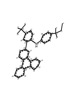 CCC(C)(C)c1ccc(Nc2ccc(C(C)(C)C)cc2-c2ccc3c4ccccc4c4ccccc4c3c2)cc1